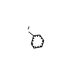 F.FC(F)(F)[B]c1ccccc1